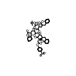 CC(C)(C)OC(=O)NC(CC(Cc1ccccc1)C(=O)O)C(=O)NC(CC(Cc1ccccc1)C(=O)O)C(=O)NC(CC(Cc1ccccc1)C(=O)O)C(=O)NCC(=O)Oc1ccc([N+](=O)[O-])cc1